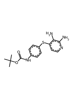 CC(C)(C)OC(=O)Nc1ccc(Sc2ccnc(N)c2N)cc1